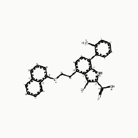 Cc1ccccc1-c1ccc(CCOc2cccc3ccccc23)c2c(Br)c(C(=O)O)[nH]c12